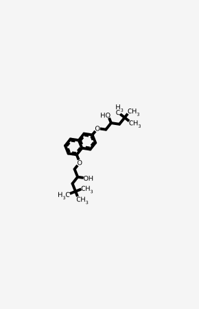 CC(C)(C)CC(O)COc1ccc2c(OCC(O)CC(C)(C)C)cccc2c1